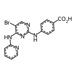 O=C(O)c1ccc(Nc2ncc(Br)c(Nc3ccccn3)n2)cc1